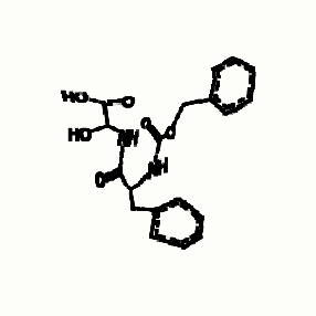 O=C(NC(Cc1ccccc1)C(=O)NC(O)C(=O)O)OCc1ccccc1